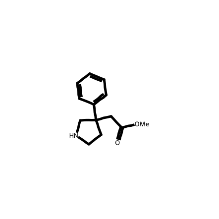 COC(=O)CC1(c2ccccc2)CCNC1